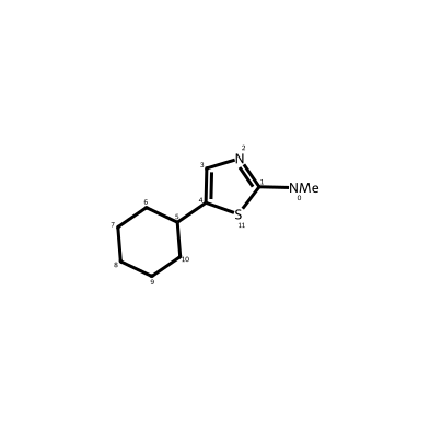 CNc1ncc(C2CCCCC2)s1